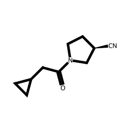 N#C[C@@H]1CCN(C(=O)[CH]C2CC2)C1